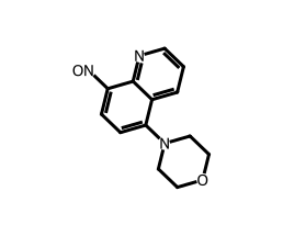 O=Nc1ccc(N2CCOCC2)c2cccnc12